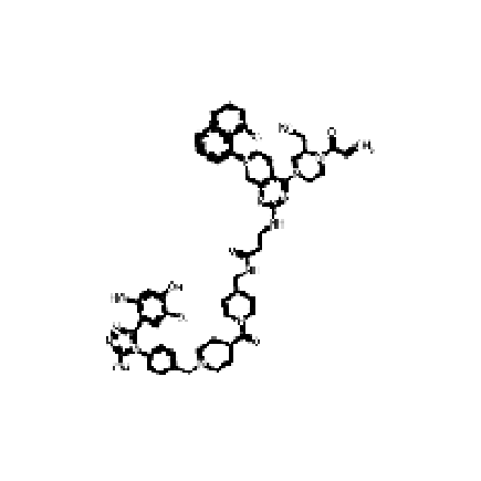 C=CC(=O)N1CCN(c2nc(NCCC(=O)NCC3CCN(C(=O)C4CCN(Cc5ccc(-n6c(O)nnc6-c6cc(CC)c(O)cc6O)cc5)CC4)CC3)nc3c2CCN(c2cccc4cccc(Cl)c24)C3)CC1CC#N